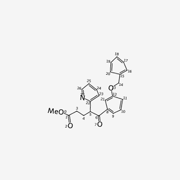 COC(=O)CCC(C(=O)c1cccc(OCc2ccccc2)c1)c1ccccn1